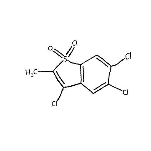 CC1=C(Cl)c2cc(Cl)c(Cl)cc2S1(=O)=O